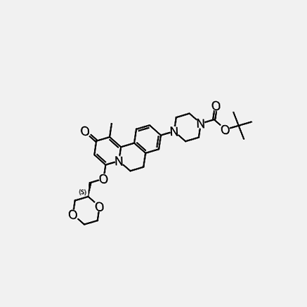 Cc1c2n(c(OC[C@@H]3COCCO3)cc1=O)CCc1cc(N3CCN(C(=O)OC(C)(C)C)CC3)ccc1-2